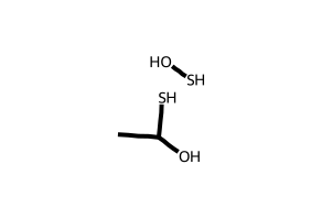 CC(O)S.OS